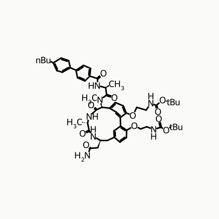 CCCCc1ccc(-c2ccc(C(=O)N[C@@H](C)C(=O)N(C)[C@@H]3C(=O)N[C@@H](C)C(=O)N[C@H](CC(N)=O)Cc4ccc(OCCNC(=O)OC(C)(C)C)c(c4)-c4cc3ccc4OCCNC(=O)OC(C)(C)C)cc2)cc1